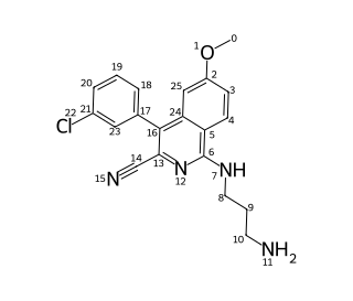 COc1ccc2c(NCCCN)nc(C#N)c(-c3cccc(Cl)c3)c2c1